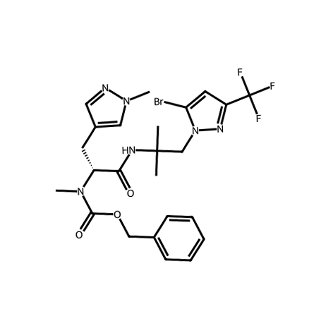 CN(C(=O)OCc1ccccc1)[C@H](Cc1cnn(C)c1)C(=O)NC(C)(C)Cn1nc(C(F)(F)F)cc1Br